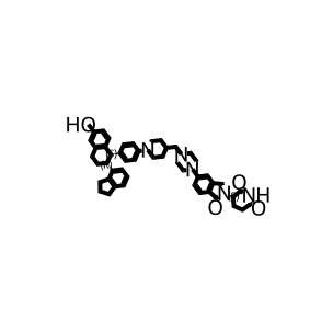 O=C1CC[C@H](N2Cc3cc(N4CCN(CC5CCN(c6ccc([C@H]7c8ccc(O)cc8CC[C@H]7c7cccc8c7CCC8)cc6)CC5)CC4)ccc3C2=O)C(=O)N1